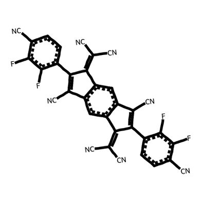 N#CC(C#N)=C1C(c2ccc(C#N)c(F)c2F)=C(C#N)c2cc3c(cc21)C(C#N)=C(c1ccc(C#N)c(F)c1F)C3=C(C#N)C#N